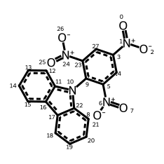 O=[N+]([O-])c1[c]c([N+](=O)[O-])c(-n2c3ccccc3c3ccccc32)c([N+](=O)[O-])c1